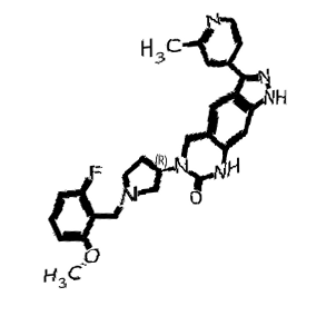 COc1cccc(F)c1CN1CC[C@@H](N2Cc3cc4c(-c5ccnc(C)c5)n[nH]c4cc3NC2=O)C1